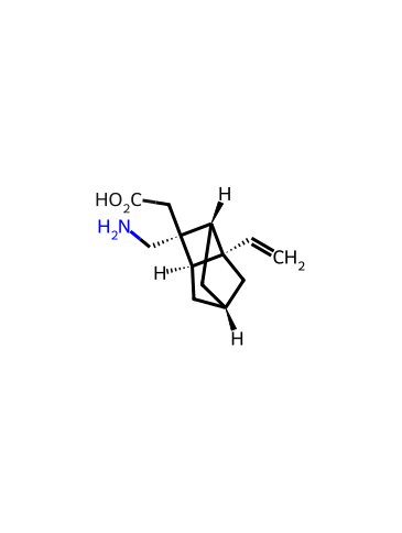 C=C[C@]12C[C@@H]3C[C@H]1[C@@](CN)(CC(=O)O)[C@H]2C3